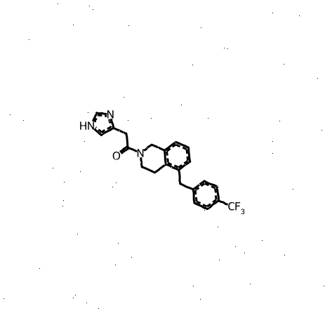 O=C(Cc1c[nH]cn1)N1CCc2c(Cc3ccc(C(F)(F)F)cc3)cccc2C1